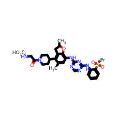 Cc1cc(Nc2ncnc(Nc3ccccc3S(=O)(=O)C(C)C)n2)c2c(c1C1CCN(C(=O)CNC(=O)O)CC1)CC(C)O2